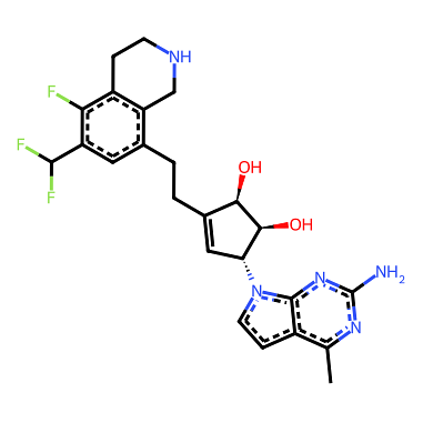 Cc1nc(N)nc2c1ccn2[C@@H]1C=C(CCc2cc(C(F)F)c(F)c3c2CNCC3)[C@@H](O)[C@H]1O